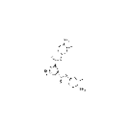 CC1CC(OC(=O)c2cccc(C(=O)OC3CCC(N)C(C)C3)c2)CCC1N.CCC